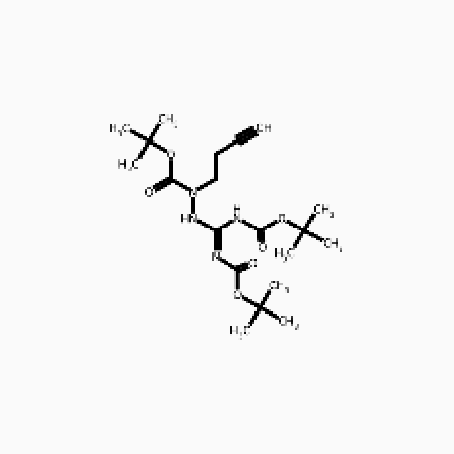 C#CCCN(N/C(=N/C(=O)OC(C)(C)C)NC(=O)OC(C)(C)C)C(=O)OC(C)(C)C